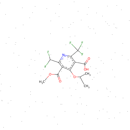 COC(=O)c1c(C(F)F)nc(C(F)(F)F)c(C(=O)O)c1OC(C)C